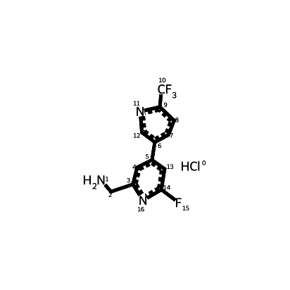 Cl.NCc1cc(-c2ccc(C(F)(F)F)nc2)cc(F)n1